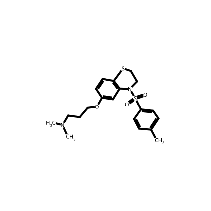 Cc1ccc(S(=O)(=O)N2CCSc3ccc(OCCCN(C)C)cc32)cc1